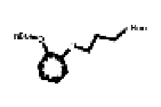 CCCCCCCCCCCCOc1cc[c]cc1OCCCC